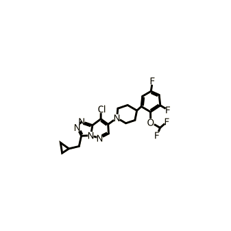 Fc1cc(F)c(OC(F)F)c(C2CCN(c3cnn4c(CC5CC5)nnc4c3Cl)CC2)c1